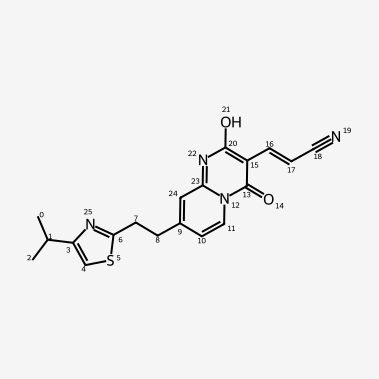 CC(C)c1csc(CCc2ccn3c(=O)c(C=CC#N)c(O)nc3c2)n1